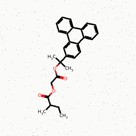 CCC(C)C(=O)OCC(=O)OC(C)(C)c1ccc2c3ccccc3c3ccccc3c2c1